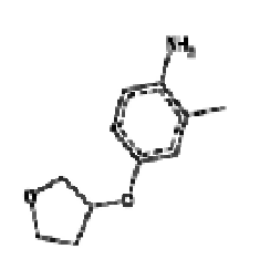 Cc1cc(OC2CCOC2)ccc1N